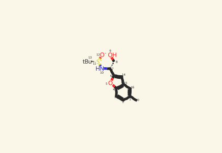 Cc1ccc2oc([C@@H](CO)N[S@@+]([O-])C(C)(C)C)cc2c1